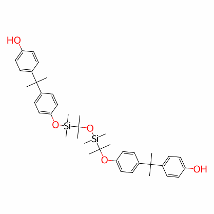 CC(C)(c1ccc(O)cc1)c1ccc(OC(C)(C)[Si](C)(C)OC(C)(C)[Si](C)(C)Oc2ccc(C(C)(C)c3ccc(O)cc3)cc2)cc1